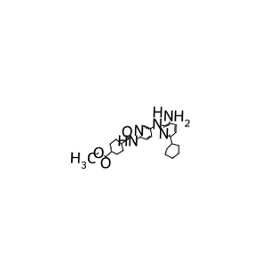 COC(=O)C1CCC(C(=O)Nc2ccc(Nc3nc(C4CCCCC4)ccc3N)cn2)CC1